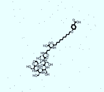 O=[C][C@H](CO)NC(=O)[C@H](CO)NC(=O)[C@H](CO)NC(=O)[C@H](CO)NC(=O)[C@H](CO)NC(=O)[C@H](CO)NC(=O)CC[C@H](NC(=O)CCCCCCCCCCOc1ccc(C(=O)O)cc1)C(=O)O